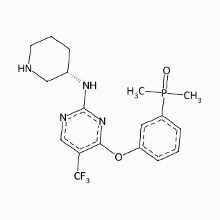 CP(C)(=O)c1cccc(Oc2nc(N[C@H]3CCCNC3)ncc2C(F)(F)F)c1